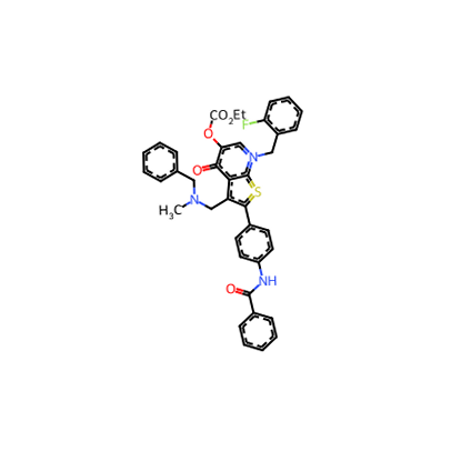 CCOC(=O)Oc1cn(Cc2ccccc2F)c2sc(-c3ccc(NC(=O)c4ccccc4)cc3)c(CN(C)Cc3ccccc3)c2c1=O